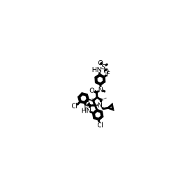 C[C@H]1C(C(=O)N(C)c2ccc(NS(C)(=O)=O)c(F)c2)[C@H](c2cccc(Cl)c2F)[C@]2(C(=O)Nc3cc(Cl)ccc32)N1CC1CC1